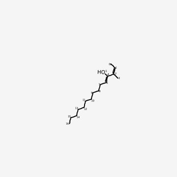 [CH2]/C=C(C)\C(O)=C\CCCCCCCCCC